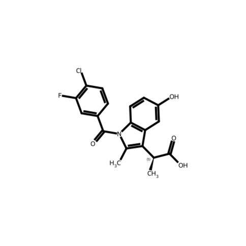 Cc1c([C@H](C)C(=O)O)c2cc(O)ccc2n1C(=O)c1ccc(Cl)c(F)c1